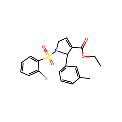 CCOC(=O)C1=CCN(S(=O)(=O)c2ccccc2Br)C1c1cccc(C)c1